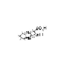 O=S(=O)(O)c1cc2nc3ccccc3nc2cc1O